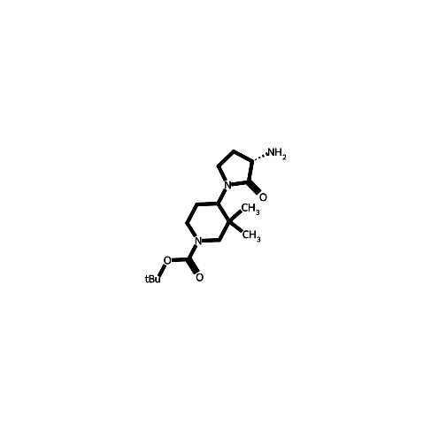 CC(C)(C)OC(=O)N1CCC(N2CC[C@H](N)C2=O)C(C)(C)C1